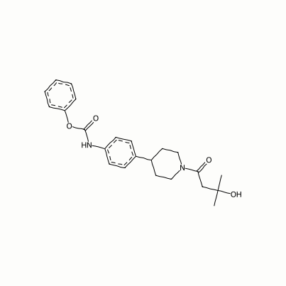 CC(C)(O)CC(=O)N1CCC(c2ccc(NC(=O)Oc3ccccc3)cc2)CC1